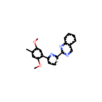 COc1cc(-c2cccc(-c3ncc4ccccc4n3)n2)c(OC)cc1C